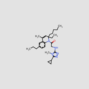 CCCCCC1(CC)C=C(C)c2cc(CCC)ccc2N1C(=O)CNc1nnc(C2CC2)n1C